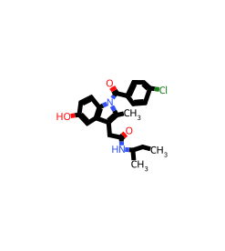 CCC(C)NC(=O)Cc1c(C)n(C(=O)c2ccc(Cl)cc2)c2ccc(O)cc12